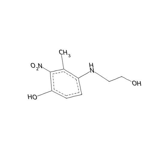 Cc1c(NCCO)ccc(O)c1[N+](=O)[O-]